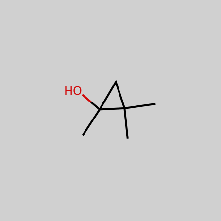 CC1(C)CC1(C)O